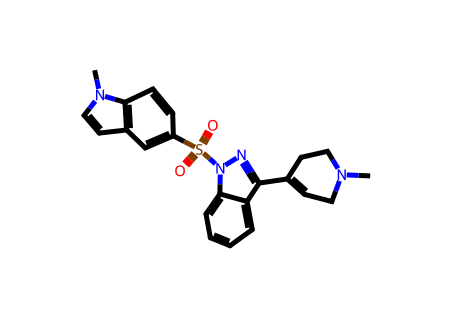 CN1CC=C(c2nn(S(=O)(=O)c3ccc4c(ccn4C)c3)c3ccccc23)CC1